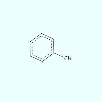 [CH]c1[c]cccc1